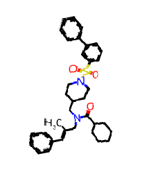 C/C(=C\c1ccccc1)CN(CC1CCN(S(=O)(=O)c2cccc(-c3ccccc3)c2)CC1)C(=O)C1CCCCC1